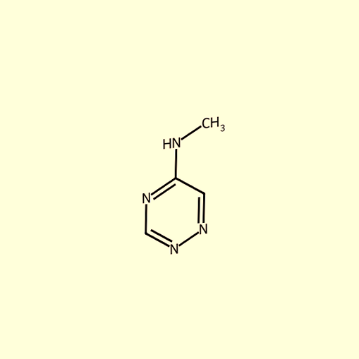 CNc1cnncn1